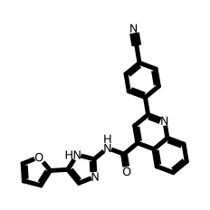 N#Cc1ccc(-c2cc(C(=O)Nc3ncc(-c4ccco4)[nH]3)c3ccccc3n2)cc1